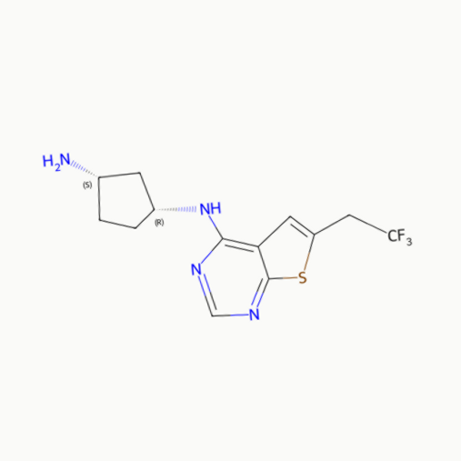 N[C@H]1CC[C@@H](Nc2ncnc3sc(CC(F)(F)F)cc23)C1